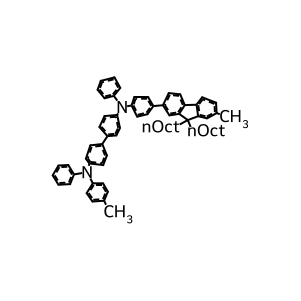 CCCCCCCCC1(CCCCCCCC)c2cc(C)ccc2-c2ccc(-c3ccc(N(c4ccccc4)c4ccc(-c5ccc(N(c6ccccc6)c6ccc(C)cc6)cc5)cc4)cc3)cc21